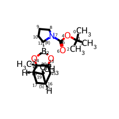 CC(C)(C)OC(=O)N1CCC[C@H]1B1OC2C[C@@H]3C[C@@H](C3(C)C)[C@]2(C)O1